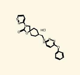 Cl.O=C1O[C@]2(CC[C@H](CNc3ccc(Oc4ccccc4)nn3)CC2)CN1c1cccnn1